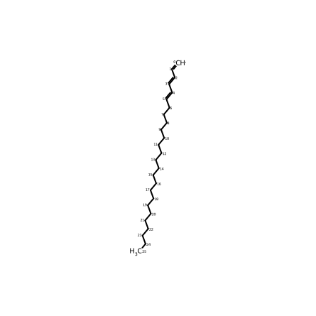 [CH]=C/C=C/C=C/CCCCCCCCCCCCCCCCCCCC